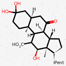 CCC[C@@H](C)[C@H]1CC[C@H]2[C@@H]3C(=O)C[C@@H]4CC(O)(O)CC[C@]4(C)[C@H]3C(C(=O)O)[C@H](O)[C@]12C